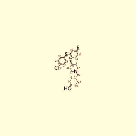 OC1CCC(CN2CCC(=C3c4ccc(F)cc4Sc4ccc(Cl)cc43)CC2)CC1